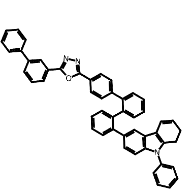 C1=Cc2c(n(-c3ccccc3)c3ccc(-c4ccccc4-c4ccccc4-c4ccc(-c5nnc(-c6cccc(-c7ccccc7)c6)o5)cc4)cc23)CC1